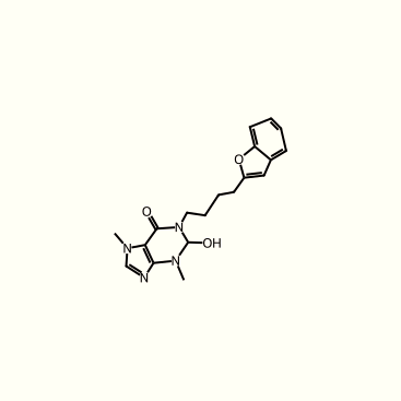 CN1c2ncn(C)c2C(=O)N(CCCCc2cc3ccccc3o2)C1O